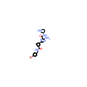 Nc1ncc(-c2cccc(C(=O)NCc3ccc(Br)cc3)c2)nc1C(=O)N[C@H]1CCCNC1